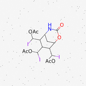 CC(=O)OC(I)C1C2CC(OC(=O)N2)C(C(I)OC(C)=O)C1C(I)OC(C)=O